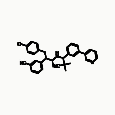 C[C@H](N[C@@H](c1cccc(-c2cccnc2)c1)C(C)(C)C#N)C(Cc1ccc(Cl)cc1)c1cccc(C#N)c1